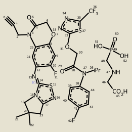 C#CCN1C(=O)COc2cc(F)c(/N=c3\snc4n3CC(C)(C)C4)cc21.CC(C)N(C(=O)COc1nnc(C(F)(F)F)s1)c1ccc(F)cc1.O=C(O)CNCP(=O)(O)O